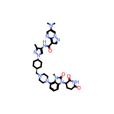 Cc1nn([C@H]2CC[C@H](CN3CCN(c4cccc5c4n(C)c(=O)n5C4CCC(=O)NC4=O)CC3)CC2)cc1NC(=O)c1cnn2cc(N(C)C)cnc12